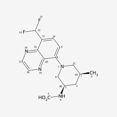 C[C@H]1C[C@@H](NC(=O)O)CN(c2ccc(C(F)F)c3nccnc23)C1